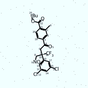 Cc1cc(C(=O)C[C@@](C[N+](=O)[O-])(c2cc(Cl)cc(Cl)c2)C(F)(F)F)ccc1C(=O)OC(C)(C)C